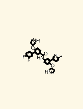 O=C(Nc1ccc(O[C@H]2CCNC2)c(-c2ccc(F)nc2)c1)c1ccc(O[C@H]2CCNC2)c(-c2ccc(F)c(F)c2)c1